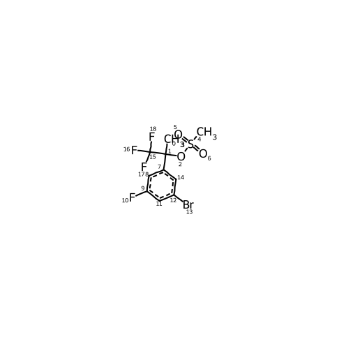 CC(OS(C)(=O)=O)(c1cc(F)cc(Br)c1)C(F)(F)F